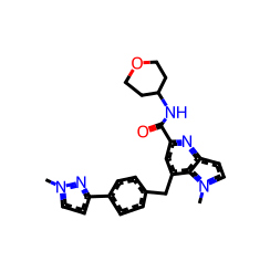 Cn1ccc(-c2ccc(Cc3cc(C(=O)NC4CCOCC4)nc4ccn(C)c34)cc2)n1